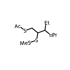 CCCC(CC)C(CSC(C)=O)SSC